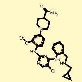 CCOc1cc(N2CCC(C(N)=O)CC2)ccc1Nc1ncc(Cl)c(Nc2ccccc2CNCC2CC2)n1